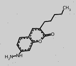 CCCCCc1cc2ccc(NN)cc2oc1=O